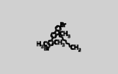 C=CCCCCCCC1(C)c2cc(Br)ccc2-c2ccc(-c3cc(C)c(Br)cc3C)cc21